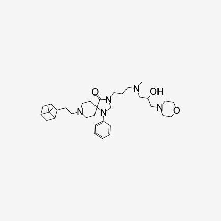 CN(CCCN1CN(c2ccccc2)C2(CCN(CCC3CCC4CC3C4(C)C)CC2)C1=O)CC(O)CN1CCOCC1